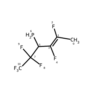 C/C(F)=C(\F)C(P)C(F)(F)C(F)(F)F